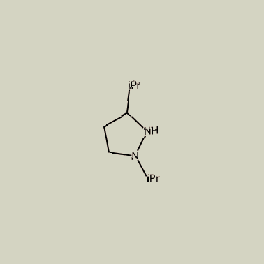 CC(C)C1CCN(C(C)C)N1